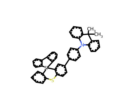 CC1(C)c2ccccc2N(c2ccc(-c3ccc4c(c3)[Si]3(c5ccccc5S4)c4ccccc4-c4ccccc43)cc2)c2ccccc21